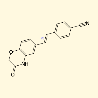 N#Cc1ccc(/C=C/c2ccc3c(c2)NC(=O)CO3)cc1